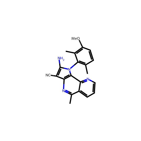 COc1ccc(C)c(-n2c(N)c(C#N)c3nc(C)c4cccnc4c32)c1C